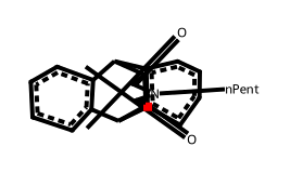 CCCCCN1C(=O)C2C3c4ccccc4C(c4ccccc43)C2C1=O